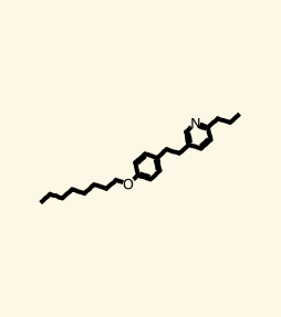 CCCCCCCCOc1ccc(CCc2ccc(CCC)nc2)cc1